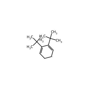 CC(C)(C)C1=C[CH]CC=C1C(C)(C)C